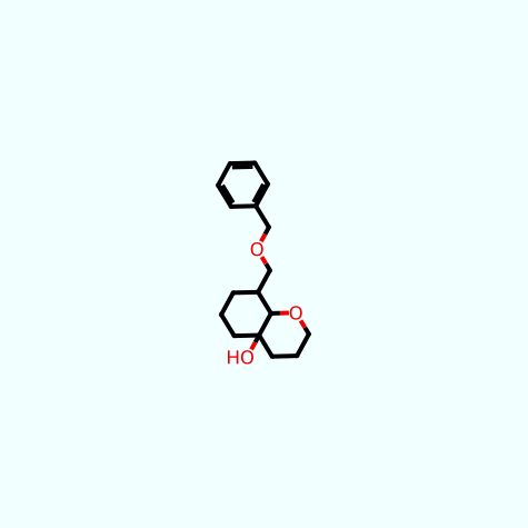 OC12CCCOC1C(COCc1ccccc1)CCC2